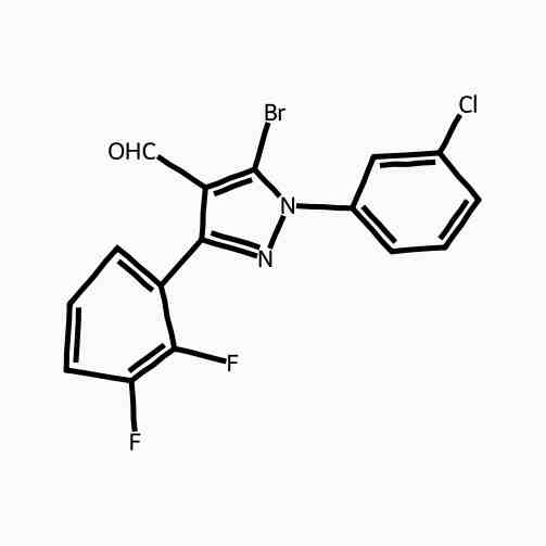 O=Cc1c(-c2cccc(F)c2F)nn(-c2cccc(Cl)c2)c1Br